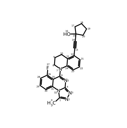 Cc1nnc2nc(N3CCCc4c(C#CC5(O)CCCC5)cccc43)c3c(F)cccc3n12